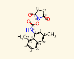 Cc1cc(NC(=O)ON2C(=O)CCC2=O)c2c(C)cccc2c1